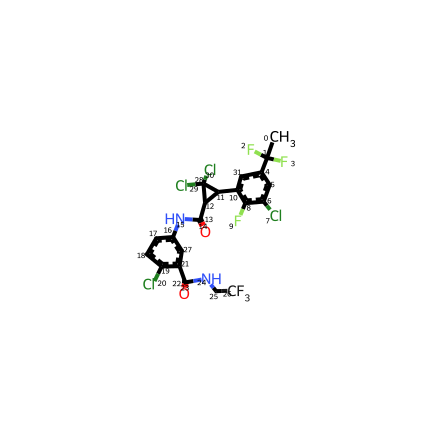 CC(F)(F)c1cc(Cl)c(F)c(C2C(C(=O)Nc3ccc(Cl)c(C(=O)NCC(F)(F)F)c3)C2(Cl)Cl)c1